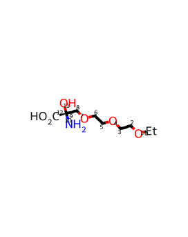 CCOCCOCCOC[C@](N)(O)C(=O)O